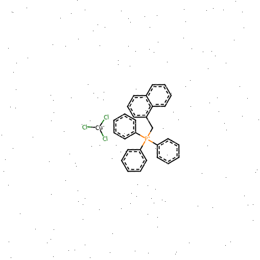 [Cl][Cu-]([Cl])[Cl].c1ccc([P+](Cc2cccc3ccccc23)(c2ccccc2)c2ccccc2)cc1